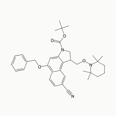 CC(C)(C)OC(=O)N1CC(CON2C(C)(C)CCCC2(C)C)c2c1cc(OCc1ccccc1)c1ccc(C#N)cc21